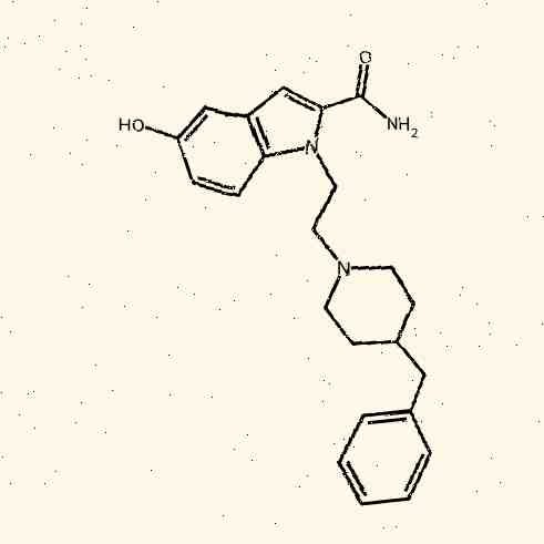 NC(=O)c1cc2cc(O)ccc2n1CCN1CCC(Cc2ccccc2)CC1